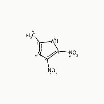 Cc1nc([N+](=O)[O-])c([N+](=O)[O-])[nH]1